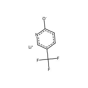 [Li+].[O-]c1ccc(C(F)(F)F)cn1